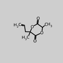 C=CCC1(C)OC(=O)C(C)OC1=O